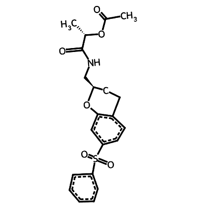 CC(=O)O[C@@H](C)C(=O)NC[C@H]1CCc2ccc(S(=O)(=O)c3ccccc3)cc2O1